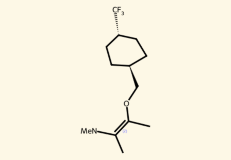 CN/C(C)=C(/C)OC[C@H]1CC[C@H](C(F)(F)F)CC1